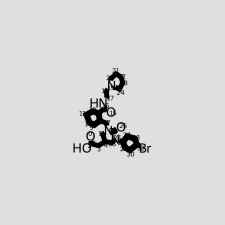 O=C(O)CC1CN(Cc2ccccc2C(=O)NCCN2CCCCC2)C(=O)N(c2ccc(Br)cc2)C1